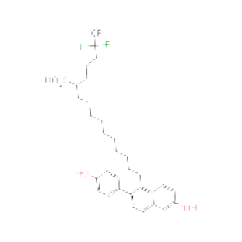 O=C(O)C(CCCCCCCCCCc1c(-c2ccc(O)cc2)ccc2cc(O)ccc12)CCCC(F)(F)C(F)(F)F